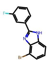 Fc1cccc(-c2nc3c(Br)cccc3[nH]2)c1